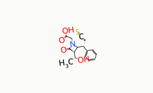 C[C@@H](O)[C@H]1C(=O)N(CC(=O)O)[C@H]1[C@H](C=C=S)c1ccccc1